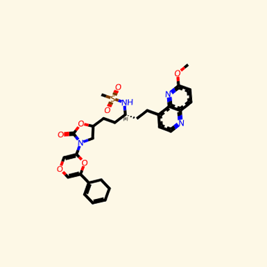 COc1ccc2nccc(CC[C@H](CCC3CN(C4=COC=C(C5=CC=CCC5)O4)C(=O)O3)NS(C)(=O)=O)c2n1